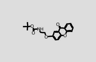 CC(C)(C)OC(=O)NCCOc1ccc2oc3ccccc3c(=O)c2c1